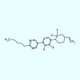 C=CC1CCC(c2ccc(-c3cnc(CCCCC)nc3)c(F)c2F)C(F)(F)C1